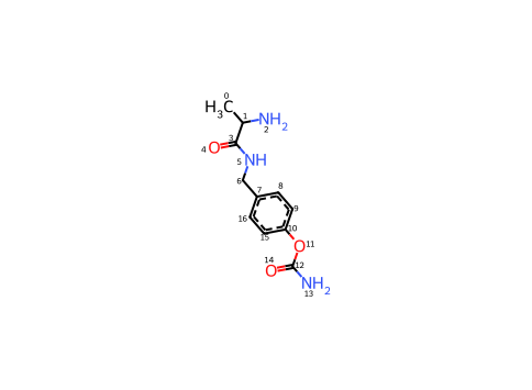 CC(N)C(=O)NCc1ccc(OC(N)=O)cc1